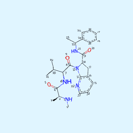 CN[C@@H](C)C(=O)NC(C(=O)N1c2ncccc2CC1C(=O)NC(C)c1ccccc1)C(C)C